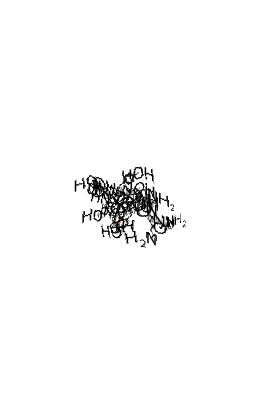 C[C@H](N)C(=O)N[C@@H](CCCCN)C(=O)N1CCC[C@H]1C(=O)N[C@@H](CO)C(=O)N[C@@H](Cc1ccc(O)cc1)C(=O)N1C[C@H](O)C[C@H]1C(=O)N1C[C@H](O)C[C@H]1C(=O)N[C@H](C(=O)N[C@@H](Cc1ccc(O)cc1)C(=O)N[C@@H](CCCCN)C(=O)O)[C@@H](C)OP(=O)(O)O